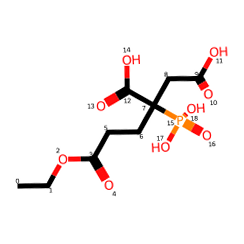 CCOC(=O)CCC(CC(=O)O)(C(=O)O)P(=O)(O)O